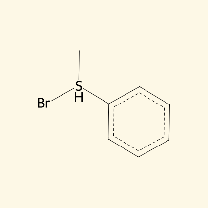 C[SH](Br)c1ccccc1